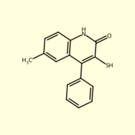 Cc1ccc2[nH]c(=O)c(S)c(-c3ccccc3)c2c1